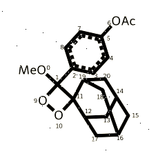 COC1(c2ccc(OC(C)=O)cc2)OOC12C1CC3CC(C1)CC2C3